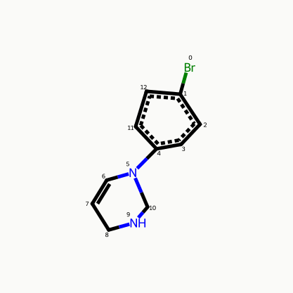 Brc1ccc(N2C=CCNC2)cc1